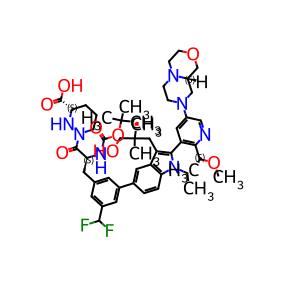 CCn1c(-c2cc(N3CCN4CCOC[C@@H]4C3)cnc2[C@H](C)OC)c(CC(C)(C)CO)c2cc(-c3cc(C[C@H](NC(=O)OC(C)(C)C)C(=O)N4CCC[C@@H](C(=O)O)N4)cc(C(F)F)c3)ccc21